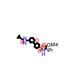 COC(=O)[C@@H](NS(=O)(=O)c1ccc2c(c1)oc1ccc(-c3noc(C4CC4)n3)cc12)C(C)C